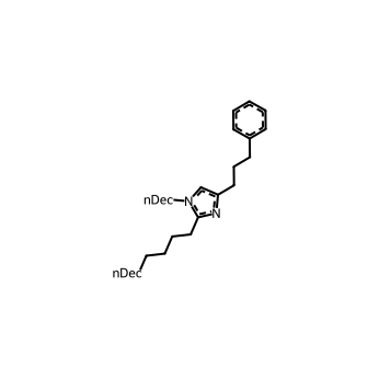 CCCCCCCCCCCCCCc1nc(CCCc2ccccc2)cn1CCCCCCCCCC